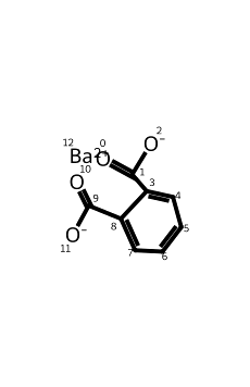 O=C([O-])c1ccccc1C(=O)[O-].[Ba+2]